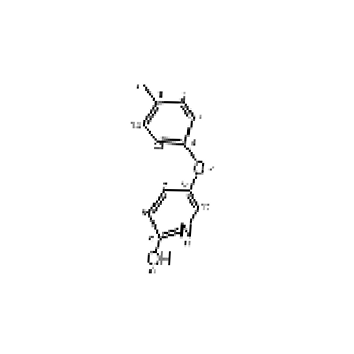 Cc1ccc(Oc2ccc(O)nc2)cc1